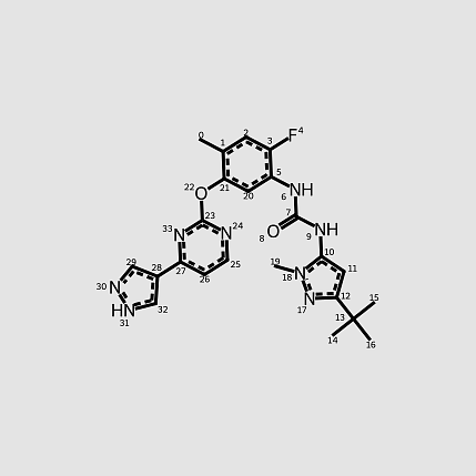 Cc1cc(F)c(NC(=O)Nc2cc(C(C)(C)C)nn2C)cc1Oc1nccc(-c2cn[nH]c2)n1